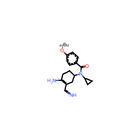 CC[C@@H](C)Oc1ccc(C(=O)N(C2CC2)C2CCC(N)=C(C=N)C2)cc1